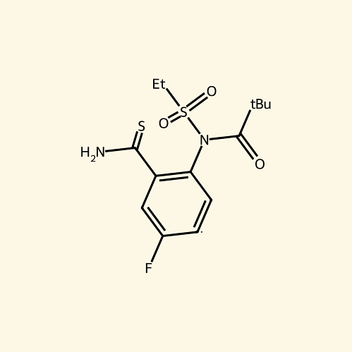 CCS(=O)(=O)N(C(=O)C(C)(C)C)c1c[c]c(F)cc1C(N)=S